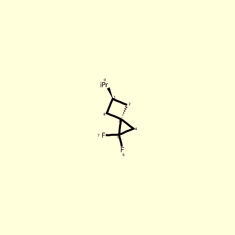 CC(C)[C@H]1C[C@@]2(CC2(F)F)C1